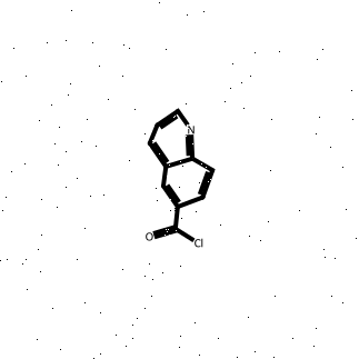 O=C(Cl)c1ccc2ncccc2c1